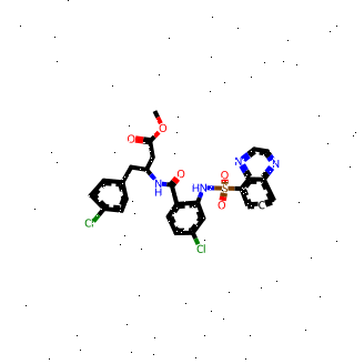 COC(=O)CC(Cc1ccc(Cl)cc1)NC(=O)c1ccc(Cl)cc1NS(=O)(=O)c1cccc2nccnc12